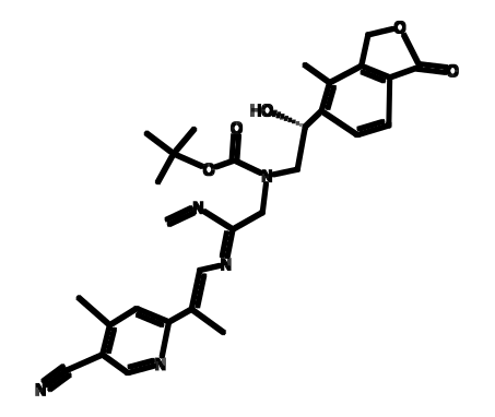 C=N/C(CN(C[C@H](O)c1ccc2c(c1C)COC2=O)C(=O)OC(C)(C)C)=N\C=C(/C)c1cc(C)c(C#N)cn1